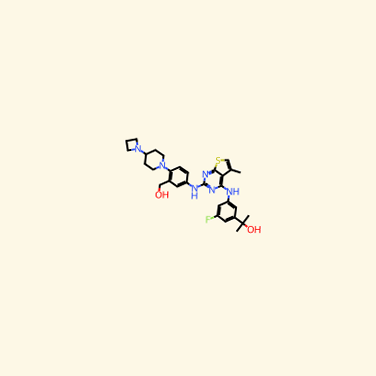 Cc1csc2nc(Nc3ccc(N4CCC(N5CCC5)CC4)c(CO)c3)nc(Nc3cc(F)cc(C(C)(C)O)c3)c12